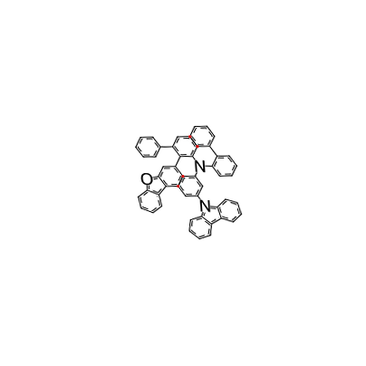 c1ccc(-c2ccccc2N(c2cccc(-n3c4ccccc4c4ccccc43)c2)c2cccc(-c3ccccc3)c2-c2ccc3c(c2)oc2ccccc23)cc1